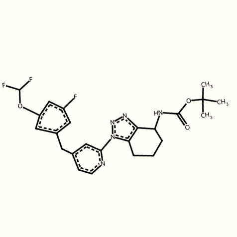 CC(C)(C)OC(=O)NC1CCCc2c1nnn2-c1cc(Cc2cc(F)cc(OC(F)F)c2)ccn1